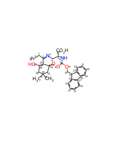 CC(C)CC(=NC[C@H](NC(=O)OCC1c2ccccc2-c2ccccc21)C(=O)O)C1=C(O)CC(C)(C)CC1=O